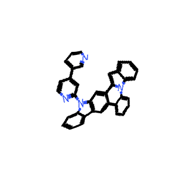 c1cncc(-c2ccnc(-n3c4ccccc4c4cc5c6ccccc6n6c7ccccc7cc6c5cc43)c2)c1